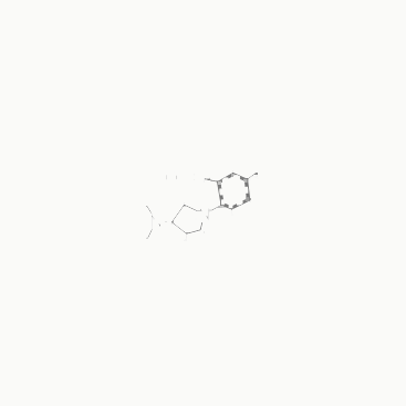 CN(C)[C@H]1CCN(c2ccc(F)cc2C=O)C1